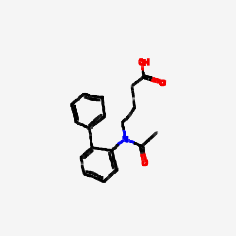 CC(=O)N(CCCC(=O)O)c1ccccc1-c1ccccc1